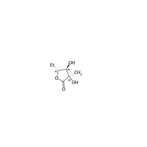 CC[C@H]1OC(=O)[C@](C)(O)[C@@H]1O